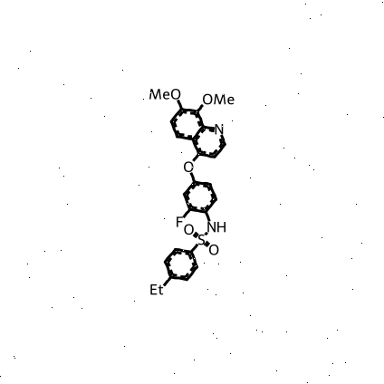 CCc1ccc(S(=O)(=O)Nc2ccc(Oc3ccnc4c(OC)c(OC)ccc34)cc2F)cc1